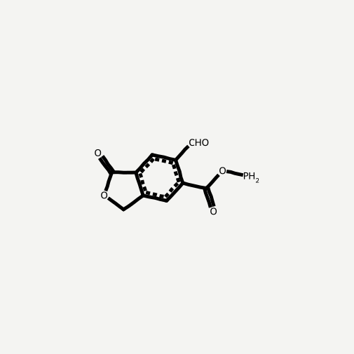 O=Cc1cc2c(cc1C(=O)OP)COC2=O